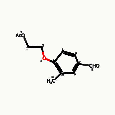 CC(=O)OCCOc1ccc(C=O)cc1C